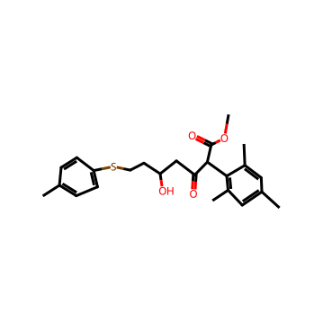 COC(=O)C(C(=O)CC(O)CCSc1ccc(C)cc1)c1c(C)cc(C)cc1C